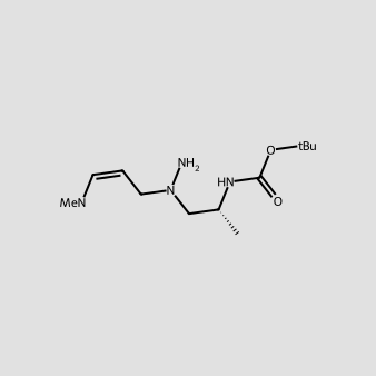 CN/C=C\CN(N)C[C@@H](C)NC(=O)OC(C)(C)C